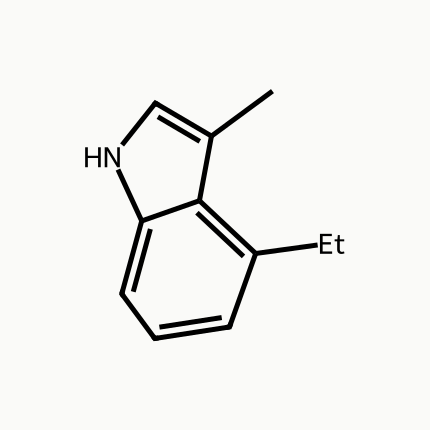 CCc1cccc2[nH]cc(C)c12